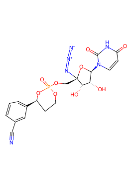 N#Cc1cccc([C@@H]2CCOP(=O)(OC[C@@]3(N=[N+]=[N-])O[C@@H](n4ccc(=O)[nH]c4=O)[C@H](O)[C@@H]3O)O2)c1